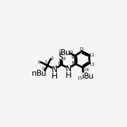 CCCCC(C)(C)NC(=S)Nc1c(C(C)CC)cccc1C(C)CC